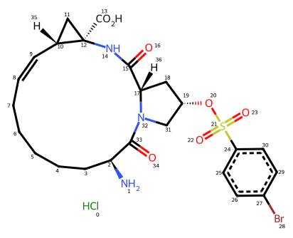 Cl.N[C@H]1CCCCC/C=C\[C@@H]2C[C@@]2(C(=O)O)NC(=O)[C@@H]2C[C@H](OS(=O)(=O)c3ccc(Br)cc3)CN2C1=O